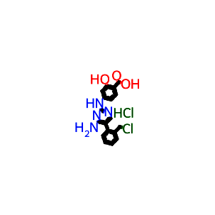 Cl.Nc1nc(Nc2ccc(C(=O)O)c(O)c2)ncc1-c1ccccc1CCl